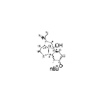 CCCCOc1ccc(C(O)(CCN(C)C)C2CCCCC2)cc1